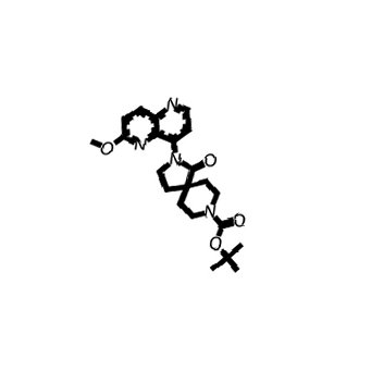 COc1ccc2nccc(N3CCC4(CCN(C(=O)OC(C)(C)C)CC4)C3=O)c2n1